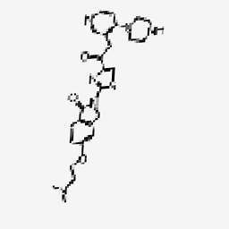 CN(C)CCOc1ccc2c(c1)CN(c1nc(C(=O)Cc3cnccc3N3CCNCC3)cs1)C2=O